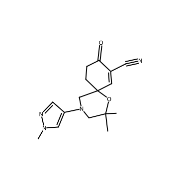 Cn1cc(N2CC(C)(C)OC3(C=C(C#N)C(=O)CC3)C2)cn1